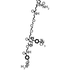 NOOSc1ccc(C(=O)NCCOC(=O)C[C@@H](NC(=O)c2ccc(C3(C(F)(F)F)N=N3)cc2)C(=O)NCCCOCCOCCOCCCNC(=O)CCCC[C@@H]2SCC[C@@H]2NC(N)=O)cc1